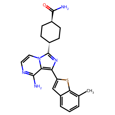 Cc1cccc2cc(-c3nc([C@H]4CC[C@H](C(N)=O)CC4)n4ccnc(N)c34)sc12